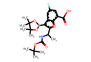 CC(NC(=O)OC(C)(C)C)c1oc2c(C(=O)O)cc(F)cc2c1B1OC(C)(C)C(C)(C)O1